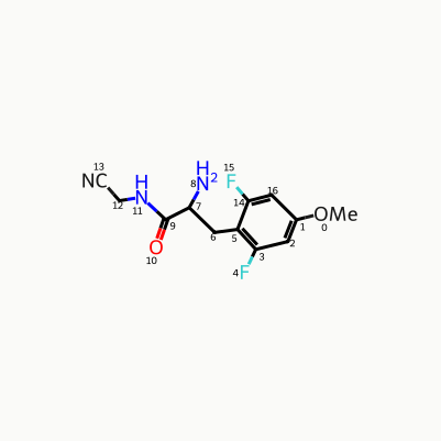 COc1cc(F)c(CC(N)C(=O)NCC#N)c(F)c1